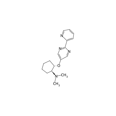 CN(C)[C@H]1CCCC[C@@H]1Oc1cnc(-c2ccccn2)nc1